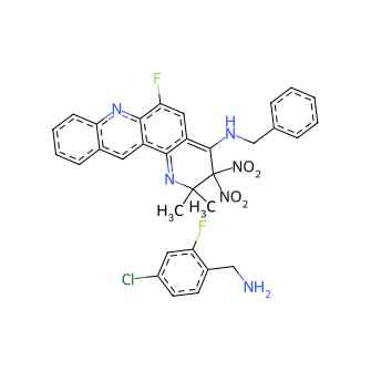 CC1(C)N=c2c(cc(F)c3nc4ccccc4cc23)=C(NCc2ccccc2)C1([N+](=O)[O-])[N+](=O)[O-].NCc1ccc(Cl)cc1F